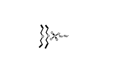 C=CCOCC=C.C=CCOCC=C.O=S(=O)([O-])[O-].[Na+].[Na+]